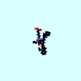 CCCNC(=O)C1(C(=O)NCCCCCC(=O)O)CC(/C=C/C2=Nc3ccccc3C2(C)C)=CC(=C/C=C2/N(CC)c3ccccc3C2(C)C)/C1